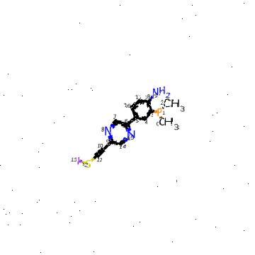 CP(C)c1cc(-c2cnc(C#CSI)cn2)ccc1N